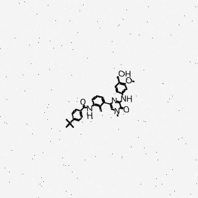 COc1cc(Nc2nc(-c3cccc(NC(=O)c4ccc(C(C)(C)C)cc4)c3C)cn(C)c2=O)ccc1CO